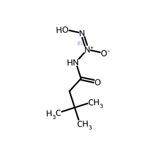 CC(C)(C)CC(=O)N/[N+]([O-])=N\O